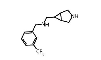 FC(F)(F)c1cccc(CNCC2C3CNCC23)c1